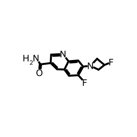 NC(=O)c1cnc2cc(N3CC(F)C3)c(F)cc2c1